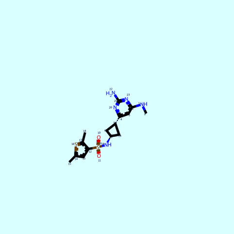 CNc1cc([C@H]2C[C@H](NS(=O)(=O)c3cc(C)sc3C)C2)nc(N)n1